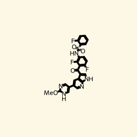 COC1N=CC(c2cnc3[nH]cc(C(=O)c4c(F)ccc(NS(=O)(=O)c5ccccc5F)c4F)c3c2)=CN1